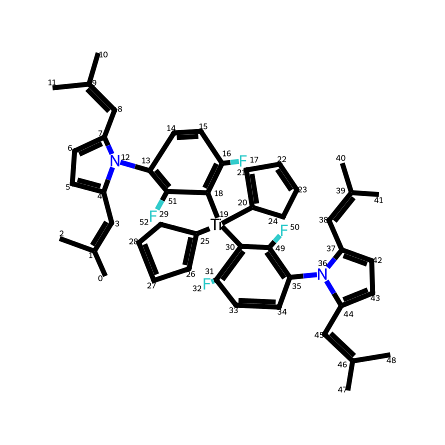 CC(C)=Cc1ccc(C=C(C)C)n1-c1ccc(F)[c]([Ti]([C]2=CC=CC2)([C]2=CC=CC2)[c]2c(F)ccc(-n3c(C=C(C)C)ccc3C=C(C)C)c2F)c1F